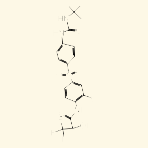 CC(C)(C)NC(=O)Nc1ccc(S(=O)(=O)c2ccc(NC(=O)[C@@](C)(O)C(F)(F)F)c(Cl)c2)cc1